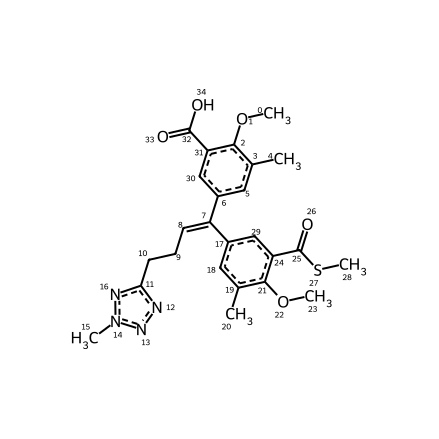 COc1c(C)cc(C(=CCCc2nnn(C)n2)c2cc(C)c(OC)c(C(=O)SC)c2)cc1C(=O)O